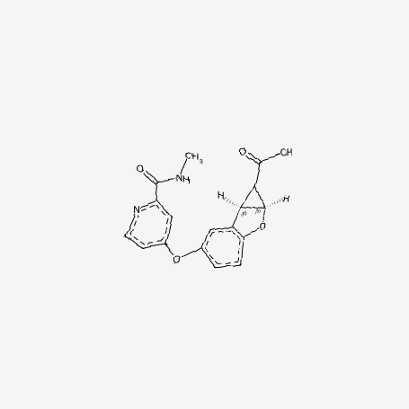 CNC(=O)c1cc(Oc2ccc3c(c2)[C@H]2C(C(=O)O)[C@H]2O3)ccn1